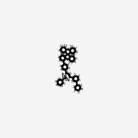 c1ccc(-c2cccc(-c3cc(-c4ccc(-c5cccc6c5-c5ccccc5C65c6ccccc6-c6ccccc65)cc4)nc(-c4ccccc4)n3)c2)cc1